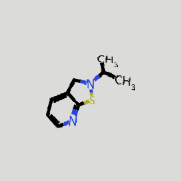 CC(C)N1Cc2cccnc2S1